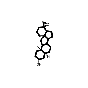 C[C@]12CC[C@@H](O)C[C@@H]1CCC1C3CCC4C5(CCC[C@]34CCC12)CO5